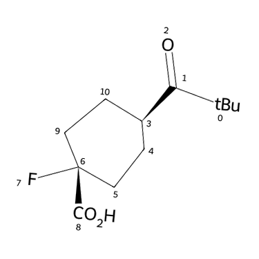 CC(C)(C)C(=O)[C@H]1CC[C@@](F)(C(=O)O)CC1